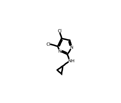 Clc1cnc(NC2CC2)nc1Cl